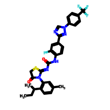 CCC(C)c1ccc(C)cc1N1C(=O)CS/C1=N\C(=O)Nc1ccc(-c2ncn(-c3ccc(C(F)(F)F)cc3)n2)cc1F